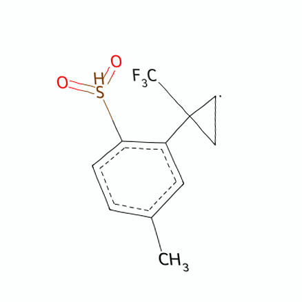 Cc1ccc([SH](=O)=O)c(C2(C(F)(F)F)[CH]C2)c1